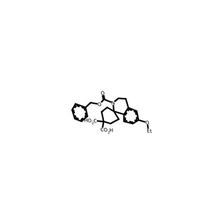 CCOc1ccc2c(c1)CCN(C(=O)OCc1ccccc1)C21CCC(C(=O)O)(C(=O)O)CC1